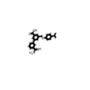 CC(C)c1ccc(OCc2cc(C(=O)O)cc(-c3cccc(C(=N)N)c3)c2)cc1